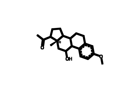 COc1ccc2c(c1)CCC1C2C(O)C[C@]2(C)C(C(C)=O)CCC12